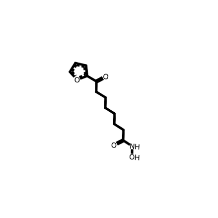 O=C(CCCCCCC(=O)c1ccco1)NO